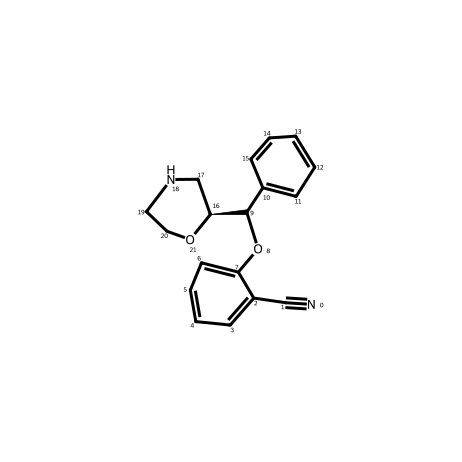 N#Cc1ccccc1OC(c1ccccc1)[C@@H]1CNCCO1